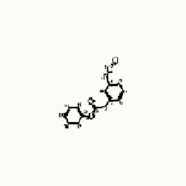 O=C=Nc1cccc(CC(=O)Oc2ccccc2)c1